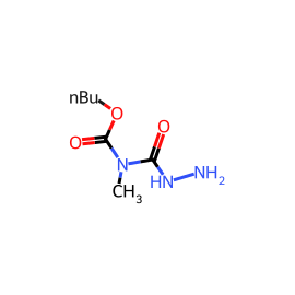 CCCCOC(=O)N(C)C(=O)NN